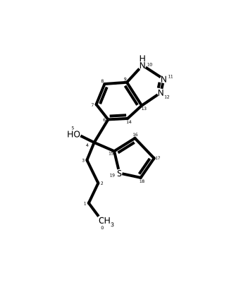 CCCCC(O)(c1ccc2[nH]nnc2c1)c1cccs1